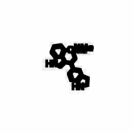 CNCCC(c1ccc2c(c1)CCN2)c1c[nH]c2cccc(OC)c12